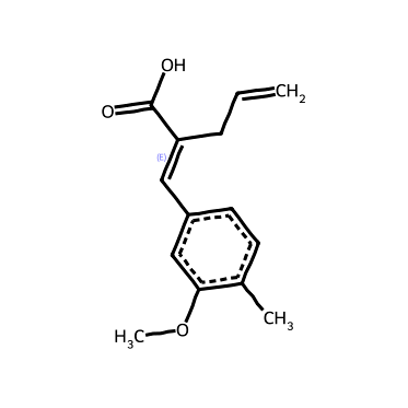 C=CC/C(=C\c1ccc(C)c(OC)c1)C(=O)O